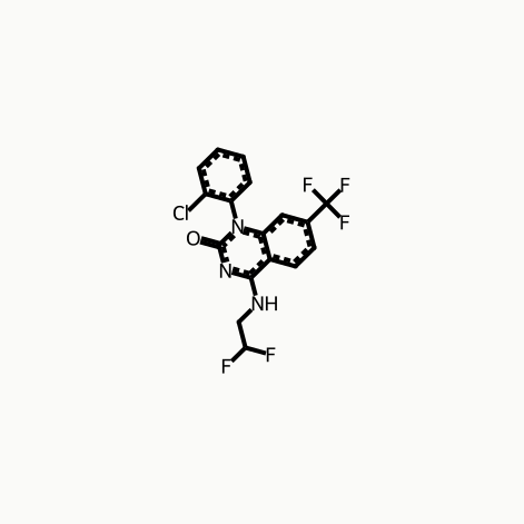 O=c1nc(NCC(F)F)c2ccc(C(F)(F)F)cc2n1-c1ccccc1Cl